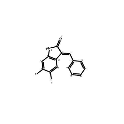 O=C1Nc2cc(F)c(F)cc2/C1=C\c1ccccc1